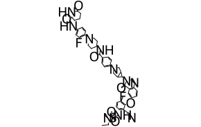 CCN(C)S(=O)(=O)Nc1ccc(F)c(Oc2ccc3ncn(C4C5CN(c6ccc(C(=O)NC7CCN(c8ccc(NC9CCC(=O)NC9=O)cc8F)CC7)cc6)CC54)c(=O)c3c2)c1C#N